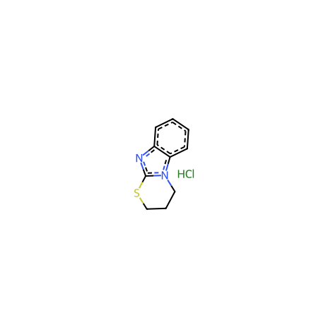 Cl.c1ccc2c(c1)nc1n2CCCS1